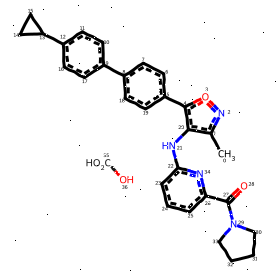 Cc1noc(-c2ccc(-c3ccc(C4CC4)cc3)cc2)c1Nc1cccc(C(=O)N2CCCC2)n1.O=C(O)O